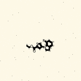 CCOC(=O)c1cc(N2CCc3cccc(F)c32)cs1